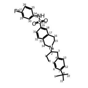 CCC(Cc1ccc(C(C)(C)C)cc1)N1CCc2cc(S(=O)(=O)Nc3ccc(F)cc3)ccc2C1